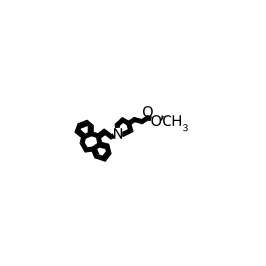 CCOC(=O)CCC1CCN(CC=C2c3ccccc3CCc3ccccc32)CC1